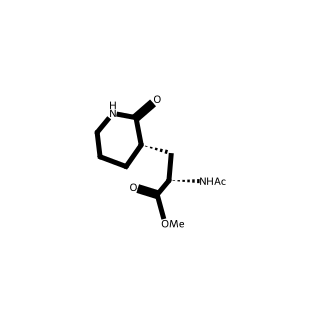 COC(=O)[C@H](C[C@@H]1CCCNC1=O)NC(C)=O